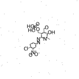 Cc1nc(/N=N/c2ccc(Cl)c([N+](=O)[O-])c2)c(COP(=O)(O)O)c(C=O)c1O